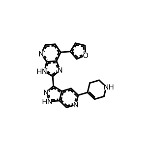 C1=C(c2cc3c(-c4nc5c(-c6ccoc6)ccnc5[nH]4)n[nH]c3cn2)CCNC1